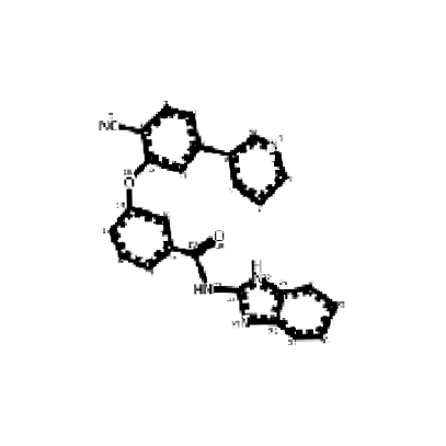 N#Cc1ccc(-c2cccnc2)cc1Oc1cccc(C(=O)Nc2nc3ccccc3[nH]2)c1